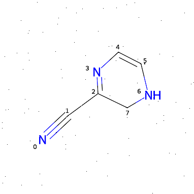 N#CC1=NC=[C]NC1